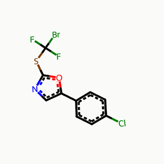 FC(F)(Br)Sc1ncc(-c2ccc(Cl)cc2)o1